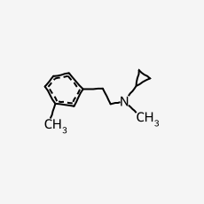 Cc1cccc(CCN(C)C2CC2)c1